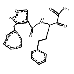 NC(=O)C(=O)C(CCc1ccccc1)NC(=O)c1conc1-c1ccccn1